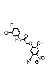 COc1cc([N+](=O)[O-])c(C#N)cc1OCC(=O)Nc1ccc(F)c(Cl)c1